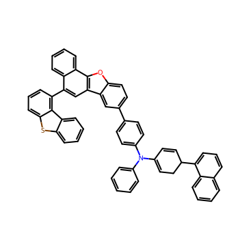 C1=CC(c2cccc3ccccc23)CC=C1N(c1ccccc1)c1ccc(-c2ccc3oc4c5ccccc5c(-c5cccc6sc7ccccc7c56)cc4c3c2)cc1